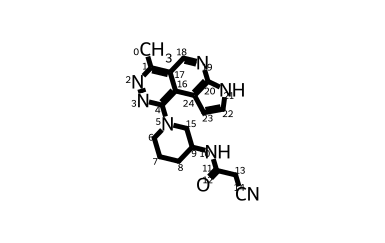 Cc1nnc(N2CCCC(NC(=O)CC#N)C2)c2c1cnc1[nH]ccc12